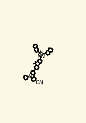 CC1(C)c2cc(-c3ccc4c(c3)c3cc(C#N)ccc3n4-c3ccccc3)ccc2-c2ccc(-c3nc(-c4ccc5ccccc5c4)nc(-c4ccc5ccccc5c4)n3)cc21